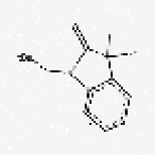 C=C1N(CC(C)(C)C)c2ccccc2C1(C)C